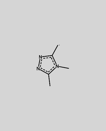 [CH2]c1nnc(C)n1C